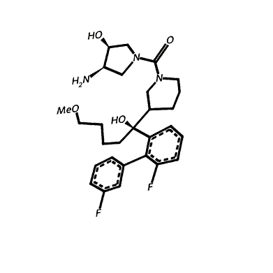 COCCCC[C@@](O)(c1cccc(F)c1-c1cccc(F)c1)C1CCCN(C(=O)N2C[C@@H](N)[C@@H](O)C2)C1